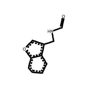 O=CNCc1coc2ccccc12